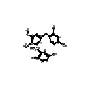 CCOc1cc(Oc2ccc(C(F)(F)F)cc2Cl)ccc1[N+](=O)[O-].O=C(O)c1nc(Cl)ccc1Cl